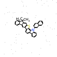 CC1(C)c2ccccc2-c2cc3c(cc21)sc1c3ccc2c3ccccc3n(-c3ccc4ccccc4c3)c21